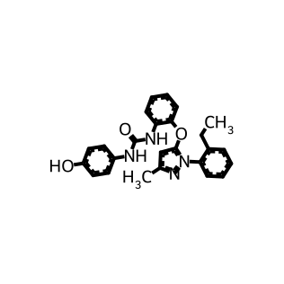 CCc1ccccc1-n1nc(C)cc1Oc1ccccc1NC(=O)Nc1ccc(O)cc1